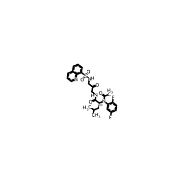 CC(=O)N(c1cc(F)ccc1F)[C@@H](CC(C)C)C(=O)NCC(=O)CNS(=O)(=O)c1cccc2cccnc12